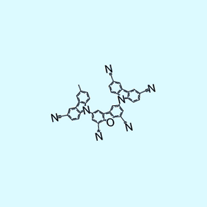 Cc1ccc2c(c1)c1cc(C#N)ccc1n2-c1cc(C#N)c2oc3c(C#N)cc(-n4c5ccc(C#N)cc5c5cc(C#N)ccc54)cc3c2c1